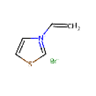 C=C[n+]1ccsc1.[Br-]